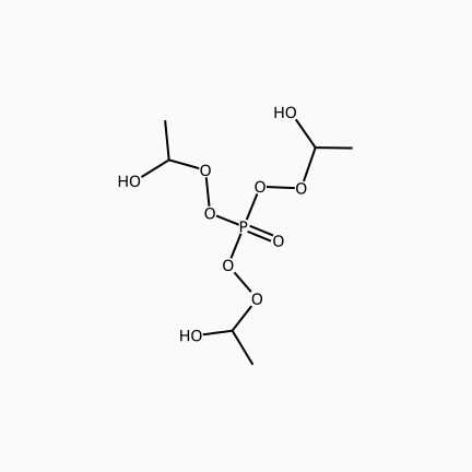 CC(O)OOP(=O)(OOC(C)O)OOC(C)O